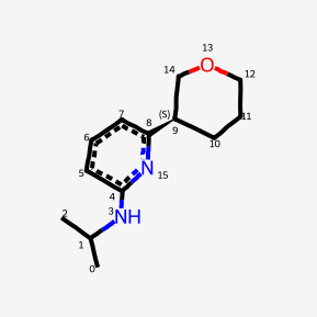 CC(C)Nc1cccc([C@@H]2CCCOC2)n1